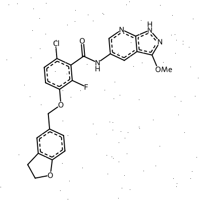 COc1n[nH]c2ncc(NC(=O)c3c(Cl)ccc(OCc4ccc5c(c4)CCO5)c3F)cc12